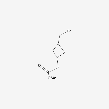 COC(=O)CC1CC(CBr)C1